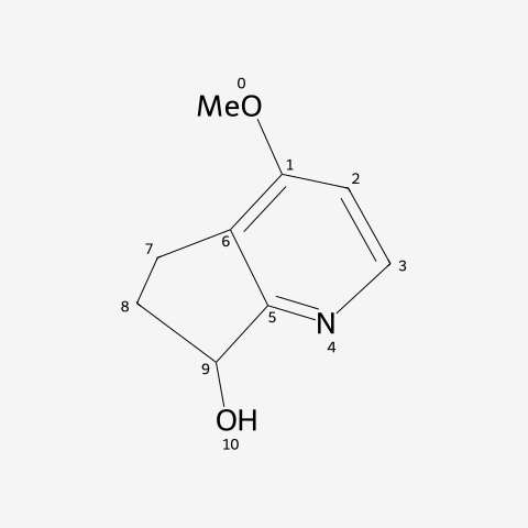 COc1ccnc2c1CCC2O